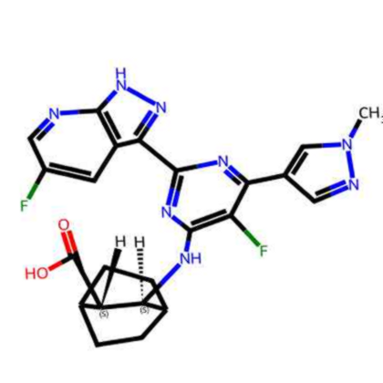 Cn1cc(-c2nc(-c3n[nH]c4ncc(F)cc34)nc(N[C@H]3C4CCC(CC4)[C@@H]3C(=O)O)c2F)cn1